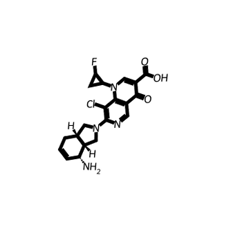 N[C@@H]1C=CC[C@@H]2CN(c3ncc4c(=O)c(C(=O)O)cn(C5CC5F)c4c3Cl)C[C@@H]21